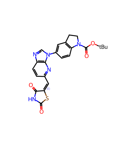 CC(C)(C)OC(=O)N1CCc2cc(-n3cnc4ccc(/C=C5/SC(=O)NC5=O)nc43)ccc21